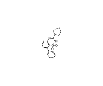 O=S1(=O)NC(C2CCCCC2)=Nc2cccc(-c3ccccn3)c21